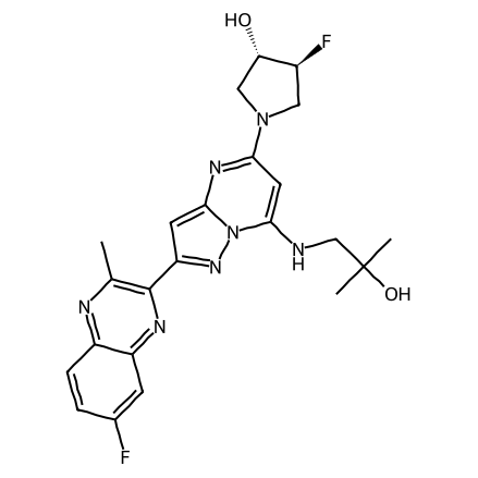 Cc1nc2ccc(F)cc2nc1-c1cc2nc(N3C[C@H](O)[C@@H](F)C3)cc(NCC(C)(C)O)n2n1